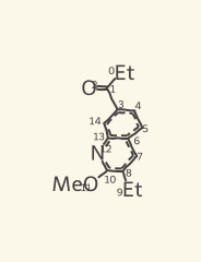 CCC(=O)c1ccc2cc(CC)c(OC)nc2c1